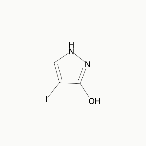 Oc1n[nH]cc1I